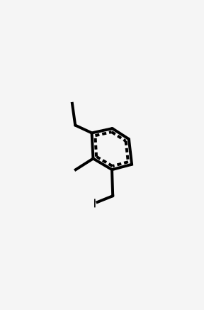 CCc1cccc(CI)c1C